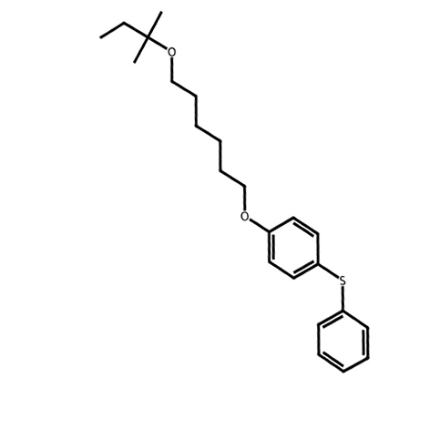 CCC(C)(C)OCCCCCCOc1ccc(Sc2ccccc2)cc1